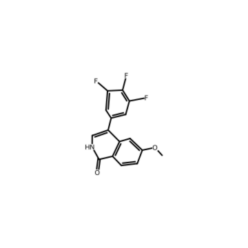 COc1ccc2c(=O)[nH]cc(-c3cc(F)c(F)c(F)c3)c2c1